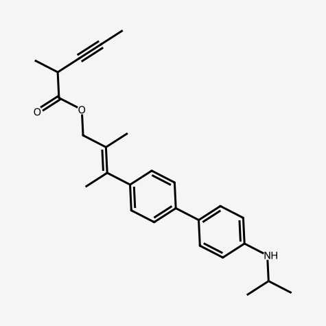 CC#CC(C)C(=O)OC/C(C)=C(\C)c1ccc(-c2ccc(NC(C)C)cc2)cc1